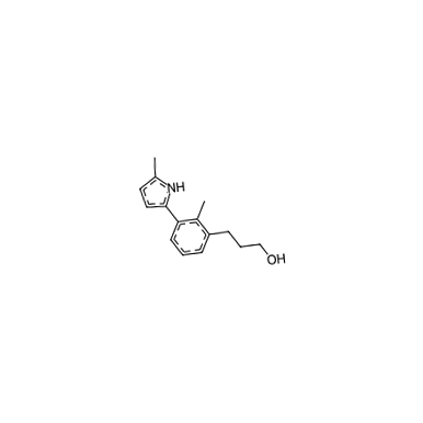 Cc1ccc(-c2cccc(CCCO)c2C)[nH]1